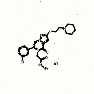 CC(C)NC(=O)Cn1c(-c2cccc(Cl)c2)cn2nc(OCCN3CCCCC3)cc2c1=O.Cl